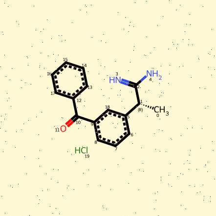 C[C@@H](C(=N)N)c1cccc(C(=O)c2ccccc2)c1.Cl